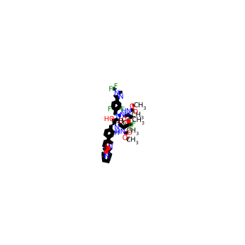 COC(=O)N[C@H](C(=O)NN(Cc1c(F)cc(-c2cn(C(F)F)cn2)cc1F)C[C@H](O)[C@H](Cc1ccc(-c2ccc(N3CC4CCC(C3)N4C3COC3)nc2)cc1)NC(=O)[C@@H](NC(=O)OC)C(C)(C)C(F)(F)F)C(C)(C)C